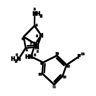 NC1=NN2C(N)C1N2Nc1cccc(F)c1